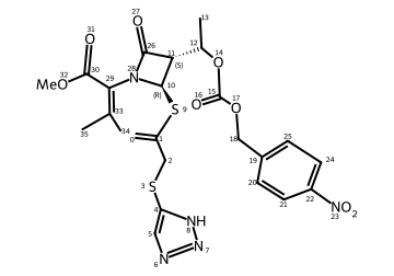 C=C(CSc1cnn[nH]1)S[C@@H]1[C@@H](C(C)OC(=O)OCc2ccc([N+](=O)[O-])cc2)C(=O)N1C(C(=O)OC)=C(C)C